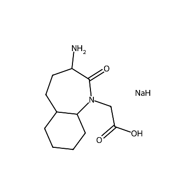 NC1CCC2CCCCC2N(CC(=O)O)C1=O.[NaH]